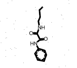 CCCCNC(=O)C(=O)Nc1ccccc1